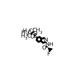 CC1(C)OB(c2ccc3cc(NC(=O)[C@@H]4C[C@@H]4F)ncc3c2)OC1(C)C